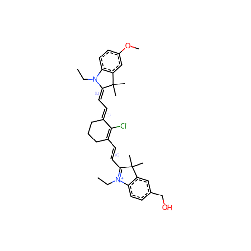 CCN1/C(=C/C=C2\CCCC(/C=C/C3=[N+](CC)c4ccc(CO)cc4C3(C)C)=C2Cl)C(C)(C)c2cc(OC)ccc21